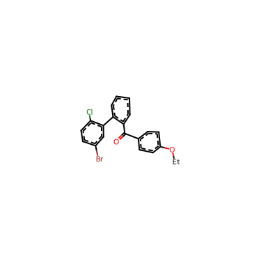 CCOc1ccc(C(=O)c2ccccc2-c2cc(Br)ccc2Cl)cc1